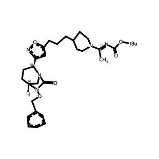 C/C(=N\C(=O)OC(C)(C)C)N1CCC(CCCc2cc([C@@H]3CC[C@@H]4CN3C(=O)N4OCc3ccccc3)no2)CC1